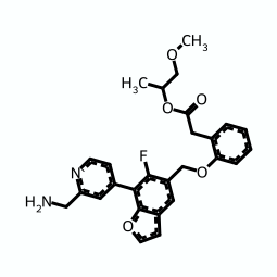 COCC(C)OC(=O)Cc1ccccc1OCc1cc2ccoc2c(-c2ccnc(CN)c2)c1F